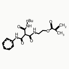 C=C(C)C(=O)OCCNC(=O)C(C(=O)NCCCC)C(=O)Nc1ccccc1